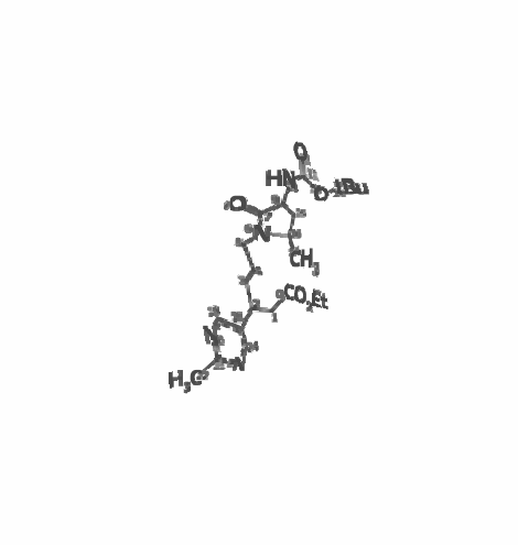 CCOC(=O)CC(CCCN1C(=O)C(NC(=O)OC(C)(C)C)CC1C)c1cnc(C)nc1